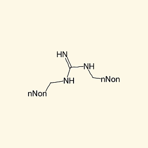 CCCCCCCCCCNC(=N)NCCCCCCCCCC